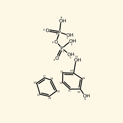 O=P(O)(O)OP(=O)(O)O.Oc1cccc(O)c1.c1ccccc1